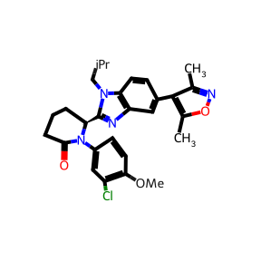 COc1ccc(N2C(=O)CCC[C@H]2c2nc3cc(-c4c(C)noc4C)ccc3n2CC(C)C)cc1Cl